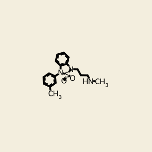 CNCCCN1c2ccccc2N(c2cccc(C)c2)S1(=O)=O